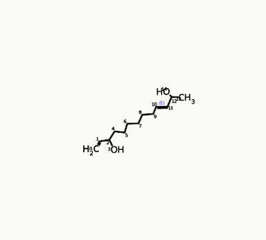 C=CC(O)CCCCCC/C=C/C(C)O